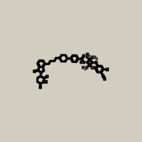 CC1(C)[C@H](NC(=O)c2ccc(N3CCN(CCCCc4cccc5c4CN(C4CCC(=O)NC4=O)C5=O)CC3)cc2)C(C)(C)[C@H]1Oc1ccc(C#N)c(Cl)c1